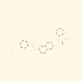 O=C1Nc2ncccc2C12Cc1cc3ccc(CN4CCc5ccc(C(F)(F)F)cc54)nc3cc1C2